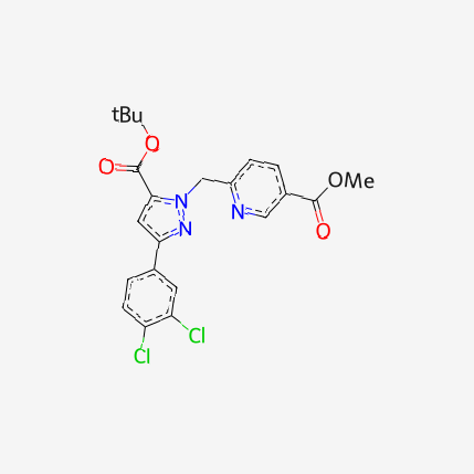 COC(=O)c1ccc(Cn2nc(-c3ccc(Cl)c(Cl)c3)cc2C(=O)OC(C)(C)C)nc1